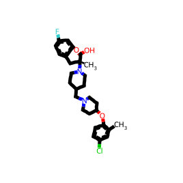 Cc1cc(Cl)ccc1OC1CCN(CC2CCN([C@](C)(Cc3ccc(F)cc3)C(=O)O)CC2)CC1